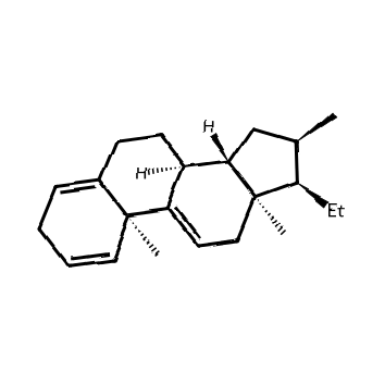 CC[C@@H]1[C@H](C)C[C@H]2[C@@H]3CCC4=CCC=C[C@]4(C)C3=CC[C@]12C